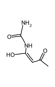 CC(=O)/C=C(/O)NC(N)=O